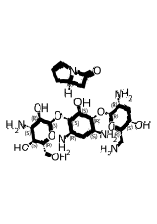 NC[C@H]1O[C@H](O[C@H]2[C@H](O)[C@@H](O[C@H]3O[C@H](CO)[C@@H](O)[C@H](N)[C@H]3O)[C@H](N)C[C@@H]2N)[C@H](N)C[C@@H]1O.O=C1C[C@H]2CC=CN12